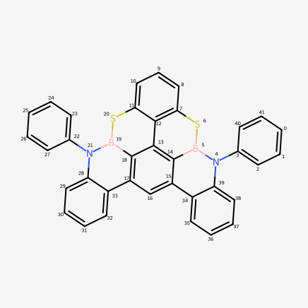 c1ccc(N2B3Sc4cccc5c4-c4c3c(cc3c4B(S5)N(c4ccccc4)c4ccccc4-3)-c3ccccc32)cc1